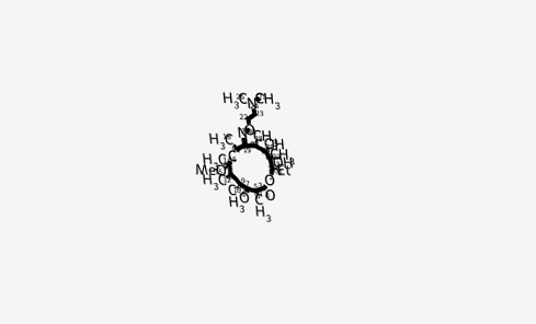 CC[C@H]1OC(=O)[C@H](C)C(=O)[C@H](C)[C@@H](C)[C@](C)(OC)C[C@@H](C)C(=NOCCN(C)C)[C@H](C)[C@H](O)[C@]1(C)O